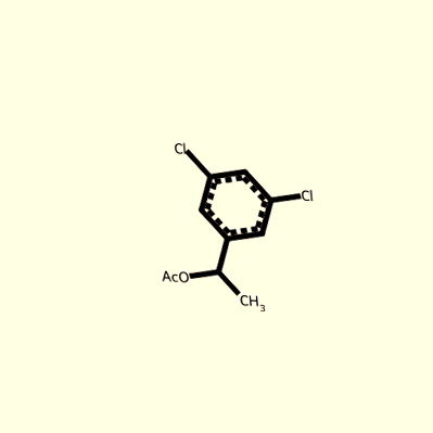 CC(=O)OC(C)c1cc(Cl)cc(Cl)c1